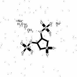 O.O.O.O=S1(=O)CC(OS(=O)(=O)[O-])C(OS(=O)(=O)[O-])C1.[Na+].[Na+]